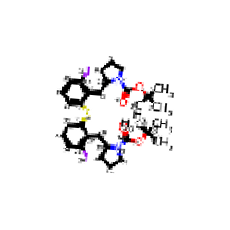 CC(C)(C)OC(=O)N1CCCC1Cc1c(I)cccc1Sc1cccc(I)c1CC1CCCN1C(=O)OC(C)(C)C